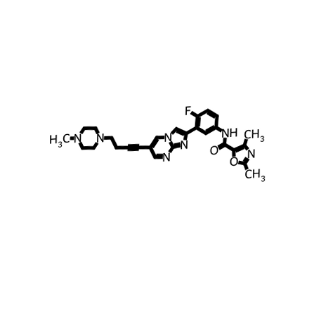 Cc1nc(C)c(C(=O)Nc2ccc(F)c(-c3cn4cc(C#CCCN5CCN(C)CC5)cnc4n3)c2)o1